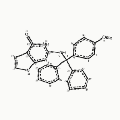 COc1ccc(C(Nc2nc3c(c(=O)[nH]2)N=C[N]3)(c2ccccc2)c2ccccc2)cc1